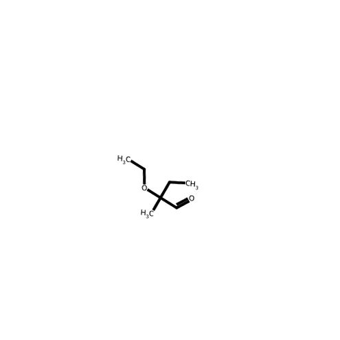 CCOC(C)(C=O)CC